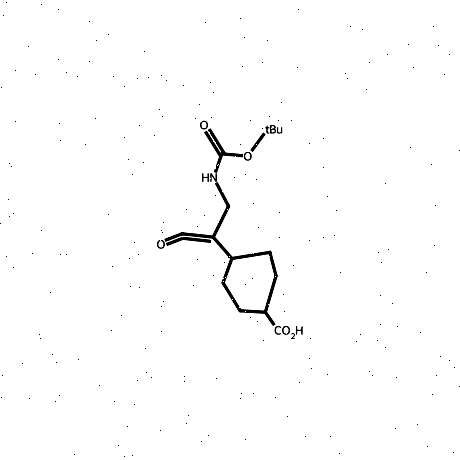 CC(C)(C)OC(=O)NCC(=C=O)C1CCC(C(=O)O)CC1